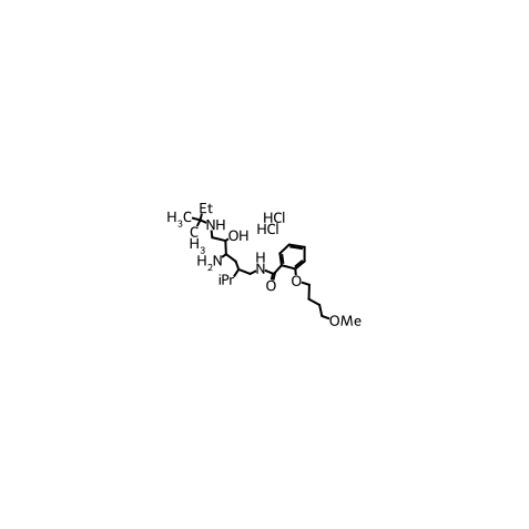 CCC(C)(C)NCC(O)C(N)CC(CNC(=O)c1ccccc1OCCCCOC)C(C)C.Cl.Cl